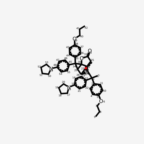 [CH]C(c1ccc(OCCC)cc1)(c1ccc(N2CCCC2)cc1)c1nc2c3nc1C1C3(OC2=O)C1(c1ccc(OCCC)cc1)c1ccc(N2CCCC2)cc1